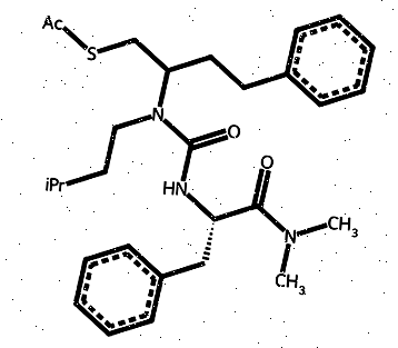 CC(=O)SCC(CCc1ccccc1)N(CCC(C)C)C(=O)N[C@@H](Cc1ccccc1)C(=O)N(C)C